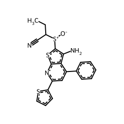 CCC(C#N)[S+]([O-])c1sc2nc(-c3cccs3)cc(-c3ccccc3)c2c1N